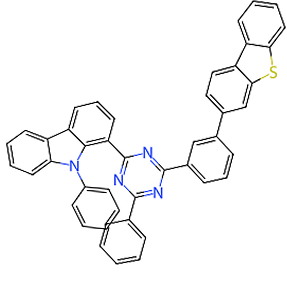 c1ccc(-c2nc(-c3cccc(-c4ccc5c(c4)sc4ccccc45)c3)nc(-c3cccc4c5ccccc5n(-c5ccccc5)c34)n2)cc1